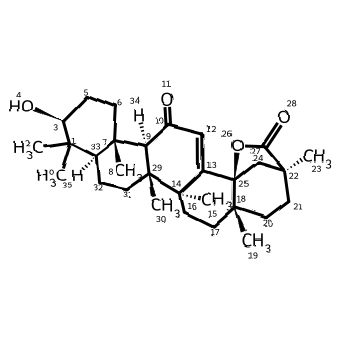 CC1(C)[C@@H](O)CC[C@]2(C)[C@H]3C(=O)C=C4[C@@](C)(CC[C@@]5(C)CC[C@@]6(C)C[C@@]45OC6=O)[C@]3(C)CC[C@@H]12